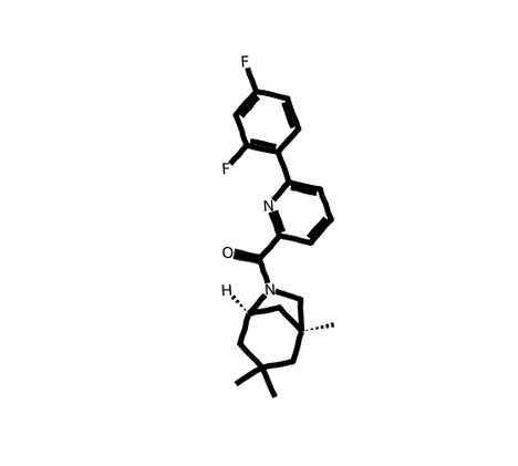 CC1(C)C[C@@H]2C[C@@](C)(CN2C(=O)c2cccc(-c3ccc(F)cc3F)n2)C1